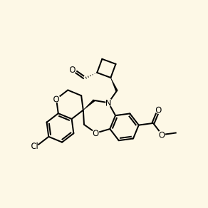 COC(=O)c1ccc2c(c1)N(C[C@@H]1CC[C@H]1C=O)C[C@@]1(CCOc3cc(Cl)ccc31)CO2